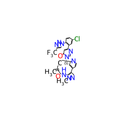 C[C@@H]1CCC[C@H](n2cnc(-c3cc(Cl)ccc3-n3cc(C(F)(F)F)nn3)cc2=O)c2cc(ccn2)-c2cnn(C)c2NC1=O